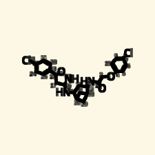 O=C(COc1ccc(Cl)cc1)NC1CC(NC2CC(c3ccc(Cl)cc3)ON2)C2CC1C2